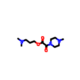 CN(C)CCCOC(=O)C(=O)N1CCN(C)CC1